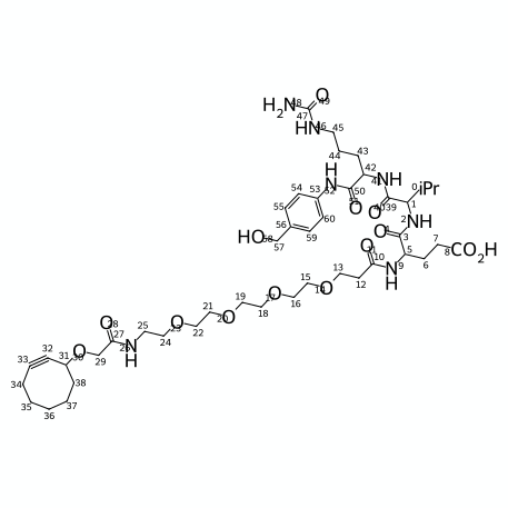 CC(C)C(NC(=O)C(CCC(=O)O)NC(=O)CCOCCOCCOCCOCCNC(=O)COC1C#CCCCCC1)C(=O)NC(CCCNC(N)=O)C(=O)Nc1ccc(CO)cc1